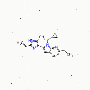 C=Cc1nc(-c2cc3ccc(CC)nc3n2CC2CC2)c(C)[nH]1